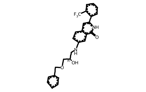 O=c1[nH]c(-c2ccccc2C(F)(F)F)cc2ccc(NC[C@@H](O)COCc3ccccc3)cc12